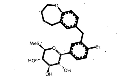 CCc1ccc([C@@H]2O[C@H](SC)[C@@H](O)[C@H](O)[C@H]2O)cc1Cc1ccc2c(c1)CCCCO2